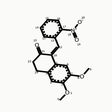 COc1cc2c(cc1OC)C(=Cc1ccccc1[N+](=O)[O-])C(=O)CC2